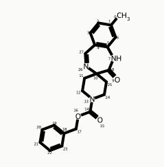 Cc1ccc2c(c1)NC(=O)C1(CCN(C(=O)OCc3ccccc3)CC1)N=C2